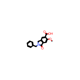 COc1cc2c(cc1C(=O)O)CN(Cc1ccccc1)C2=O